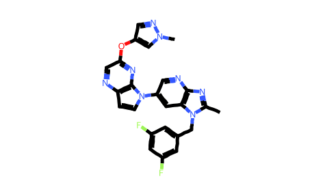 Cc1nc2ncc(-n3ccc4ncc(Oc5cnn(C)c5)nc43)cc2n1Cc1cc(F)cc(F)c1